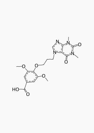 COc1cc(C(=O)O)cc(OC)c1OCCCn1cnc2c1c(=O)n(C)c(=O)n2C